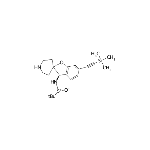 CC(C)(C)[S+]([O-])N[C@@H]1c2ccc(C#C[Si](C)(C)C)cc2OC12CCNCC2